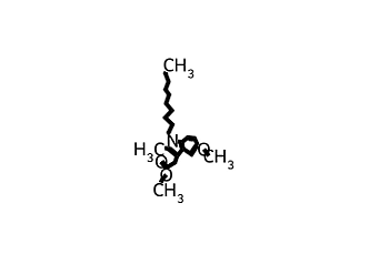 CCCCCCCCCCn1c(C)c(CC(=O)OCC)c2cc(OC)ccc21